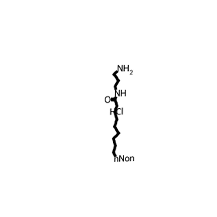 CCCCCCCCCCCCCCCCCC(=O)NCCCN.Cl